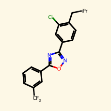 CC(C)Cc1ccc(-c2noc(-c3cccc(C(F)(F)F)c3)n2)cc1Cl